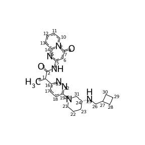 CC(C(=O)Nc1cc(=O)n2ccccc2n1)c1ccc(N2CCC[C@@H](NCC3CCC3)C2)nn1